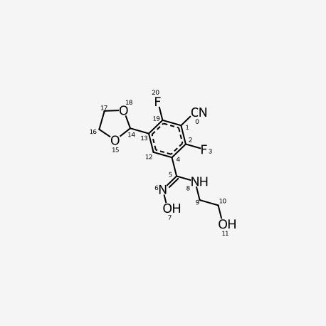 N#Cc1c(F)c(/C(=N/O)NCCO)cc(C2OCCO2)c1F